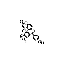 COc1ccc(C(Oc2ccc3oc(=O)cc(C)c3c2)c2ccc(O)cc2)cc1